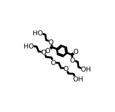 O=C(OCCO)c1ccc(C(=O)OCCO)cc1.OCCOCCOCCOCCO